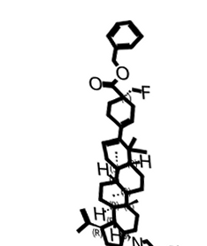 C=C(C)[C@@H]1CC[C@]2(NCCCl)CC[C@]3(C)[C@H](CC[C@@H]4[C@@]5(C)CC=C(C6=CC[C@](CF)(C(=O)OCc7ccccc7)CC6)C(C)(C)[C@@H]5CC[C@]43C)[C@@H]12